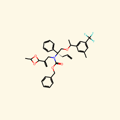 C=CC[C@@](COC(C)c1cc(C)cc(C(F)(F)F)c1)(c1ccccc1)N(CC(=C)C1OC(C)O1)C(=O)OCc1ccccc1